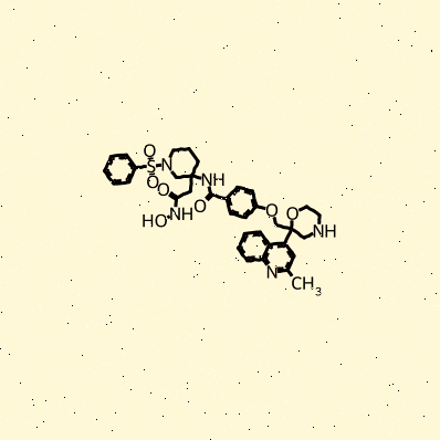 Cc1cc(C2(COc3ccc(C(=O)NC4(CC(=O)NO)CCCN(S(=O)(=O)c5ccccc5)C4)cc3)CNCCO2)c2ccccc2n1